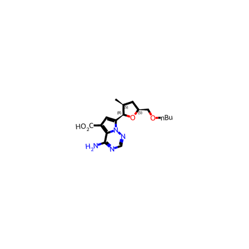 CCCCOC[C@@H]1C[C@H](C)[C@H](c2cc(C(=O)O)c3c(N)ncnn23)O1